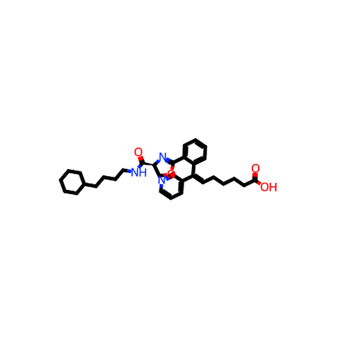 O=C(O)CCCC/C=C(/c1cccnc1)c1ccccc1C1=N[C@H](C(=O)NCCCCC2CCCCC2)CO1